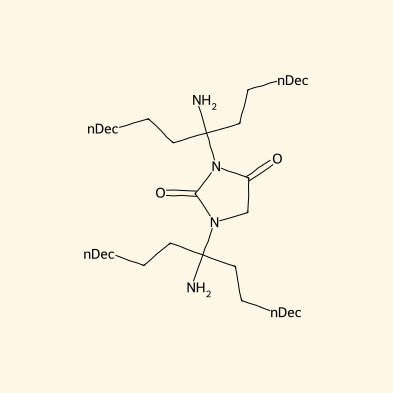 CCCCCCCCCCCCC(N)(CCCCCCCCCCCC)N1CC(=O)N(C(N)(CCCCCCCCCCCC)CCCCCCCCCCCC)C1=O